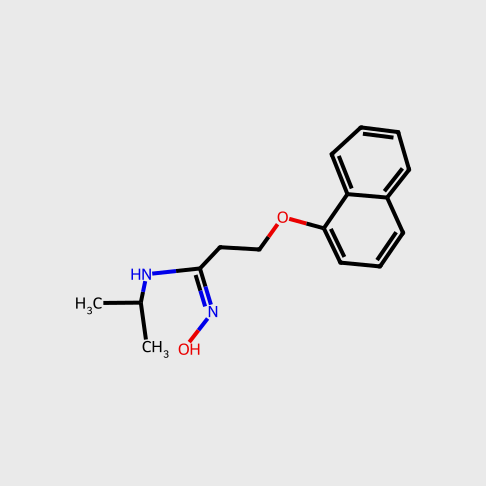 CC(C)NC(CCOc1cccc2ccccc12)=NO